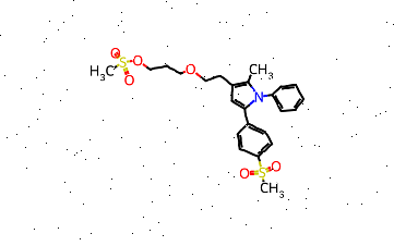 Cc1c(CCOCCCOS(C)(=O)=O)cc(-c2ccc(S(C)(=O)=O)cc2)n1-c1ccccc1